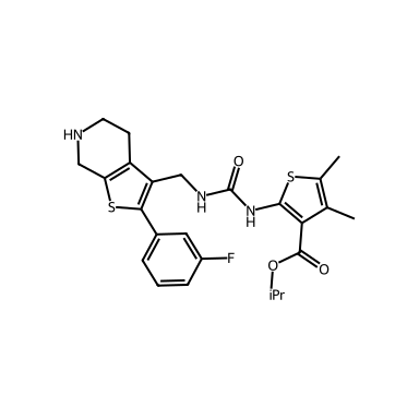 Cc1sc(NC(=O)NCc2c(-c3cccc(F)c3)sc3c2CCNC3)c(C(=O)OC(C)C)c1C